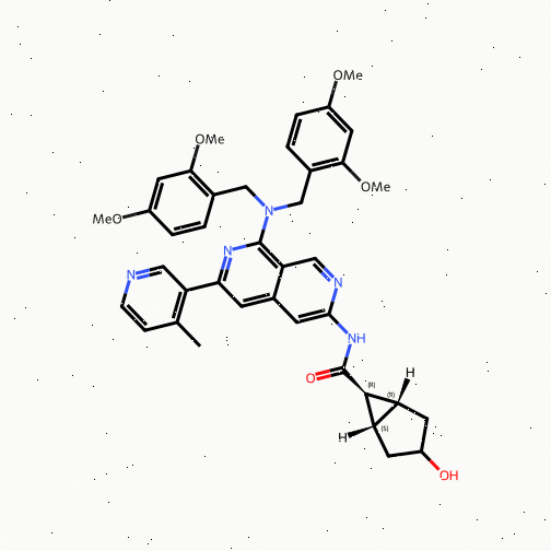 COc1ccc(CN(Cc2ccc(OC)cc2OC)c2nc(-c3cnccc3C)cc3cc(NC(=O)[C@H]4[C@@H]5CC(O)C[C@@H]54)ncc23)c(OC)c1